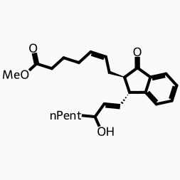 CCCCCC(O)C=C[C@H]1c2ccccc2C(=O)[C@@H]1C/C=C\CCCC(=O)OC